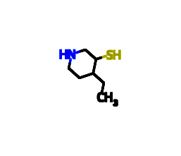 CCC1CCNCC1S